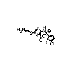 COc1nc(SCCN)cnc1NS(=O)(=O)c1ccc(Cl)s1